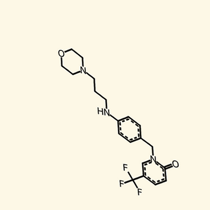 O=c1ccc(C(F)(F)F)cn1Cc1ccc(NCCCN2CCOCC2)cc1